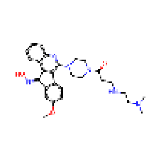 COc1ccc2c(c1)/C(=N/O)c1c-2c(N2CCN(C(=O)CCNCCN(C)C)CC2)nc2ccccc12